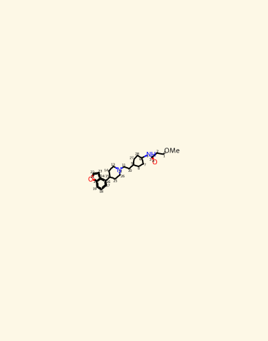 COCCC(=O)NC1CCC(CCN2CCC(c3cccc4occc34)CC2)CC1